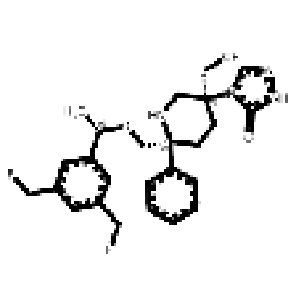 C[C@@H](OC[C@@]1(c2ccccc2)CC[C@](CO)(n2cn[nH]c2=O)CN1)c1cc(CF)cc(CF)c1